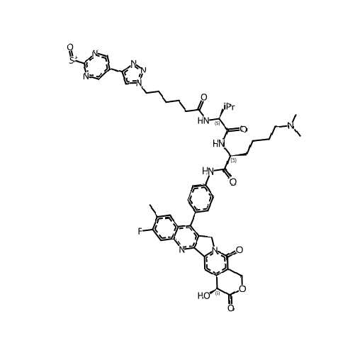 Cc1cc2c(-c3ccc(NC(=O)[C@H](CCCCN(C)C)NC(=O)[C@@H](NC(=O)CCCCCn4cc(-c5cnc([S+]=O)nc5)nn4)C(C)C)cc3)c3c(nc2cc1F)-c1cc2c(c(=O)n1C3)COC(=O)[C@H]2O